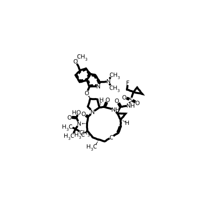 COc1ccc2c(O[C@@H]3C[C@H]4C(=O)N[C@]5(C(=O)NS(=O)(=O)C6(CF)CC6)C[C@H]5/C=C\CC[C@H](C)C[C@@H](C)[C@H](N(C(=O)O)C(C)(C)C)C(=O)N4C3)nc(N(C)C)cc2c1